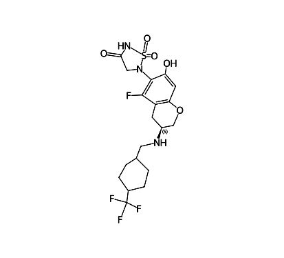 O=C1CN(c2c(O)cc3c(c2F)C[C@H](NCC2CCC(C(F)(F)F)CC2)CO3)S(=O)(=O)N1